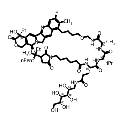 CCCCCC(C)(CC)C1CC(=O)N(CCCCCC(=O)N[C@@H](CCC(=O)NC[C@H](O)[C@@H](O)[C@H](O)[C@H](O)CO)C(=O)N[C@H](C(=O)N[C@@H](C)C(=O)NCOCCCCc2c(C)c(F)cc3nc4c(cc23)Cn2c-4cc3c(c2=O)COC(=O)[C@]3(O)CC)C(C)C)C1=O